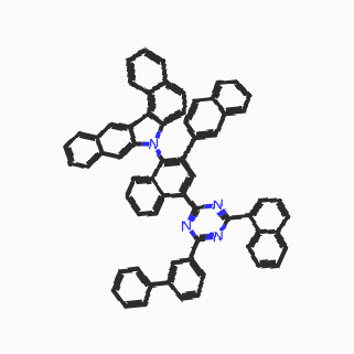 c1ccc(-c2cccc(-c3nc(-c4cccc5ccccc45)nc(-c4cc(-c5ccc6ccccc6c5)c(-n5c6cc7ccccc7cc6c6c7ccccc7ccc65)c5ccccc45)n3)c2)cc1